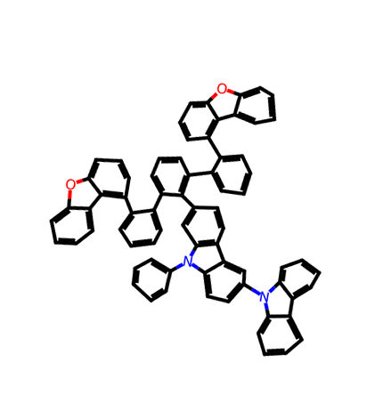 c1ccc(-n2c3ccc(-n4c5ccccc5c5ccccc54)cc3c3ccc(-c4c(-c5ccccc5-c5cccc6oc7ccccc7c56)cccc4-c4ccccc4-c4cccc5oc6ccccc6c45)cc32)cc1